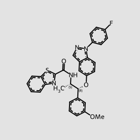 COc1cccc([C@@H](Oc2ccc3c(cnn3-c3ccc(F)cc3)c2)[C@H](C)NC(=O)c2nc3ccccc3s2)c1